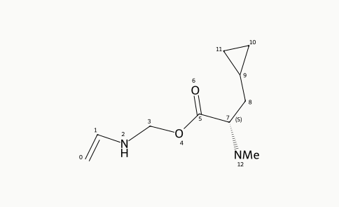 C=CNCOC(=O)[C@H](CC1CC1)NC